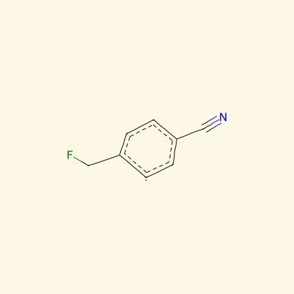 N#Cc1c[c]c(CF)cc1